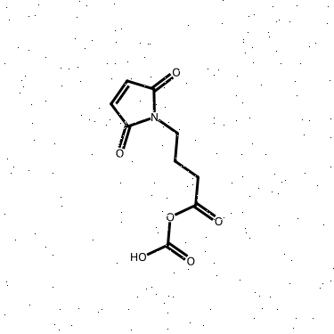 O=C(O)OC(=O)CCCN1C(=O)C=CC1=O